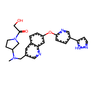 CN(Cc1cnc2cc(Oc3ccc(-c4ccn[nH]4)cn3)ccc2c1)C1CCN(C(=O)CO)C1